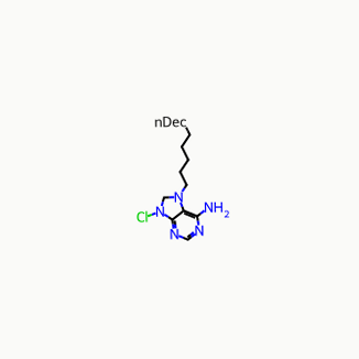 CCCCCCCCCCCCCCCN1CN(Cl)c2ncnc(N)c21